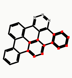 c1ccc(-c2ccccc2-c2c(-c3ccccc3)nnnc2-c2cccc3c4ccccc4c4ccccc4c23)cc1